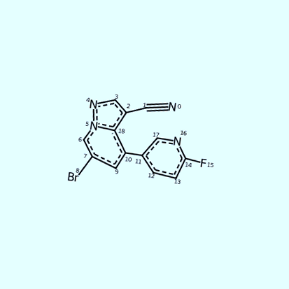 N#Cc1cnn2cc(Br)cc(-c3ccc(F)nc3)c12